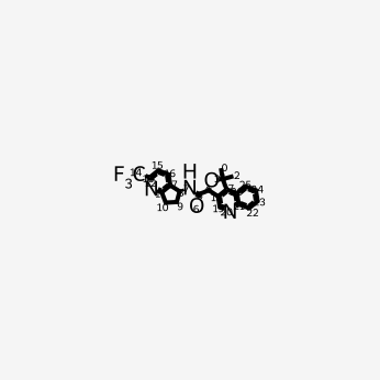 CC1(C)OC(C(=O)N[C@H]2CCc3nc(C(F)(F)F)ccc32)c2cnc3ccccc3c21